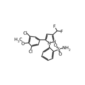 COc1c(Cl)cc(-c2cc(C(F)F)nn2-c2ccccc2S(N)(=O)=O)cc1Cl